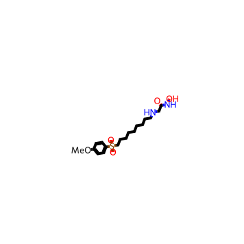 COc1ccc(S(=O)(=O)CCCCCCCCCNCC(=O)NO)cc1